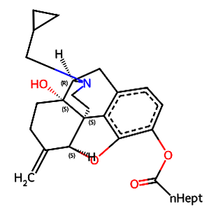 C=C1CC[C@@]2(O)[C@H]3Cc4ccc(OC(=O)CCCCCCC)c5c4[C@@]2(CCN3CC2CC2)[C@H]1O5